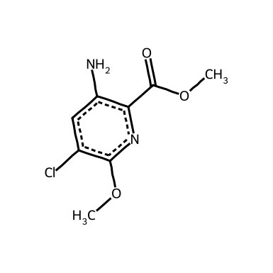 COC(=O)c1nc(OC)c(Cl)cc1N